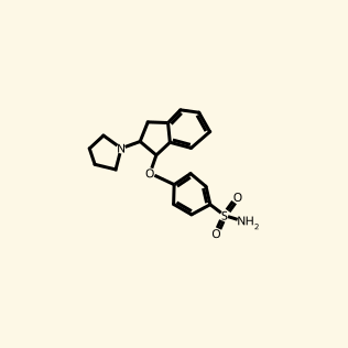 NS(=O)(=O)c1ccc(OC2c3ccccc3CC2N2CCCC2)cc1